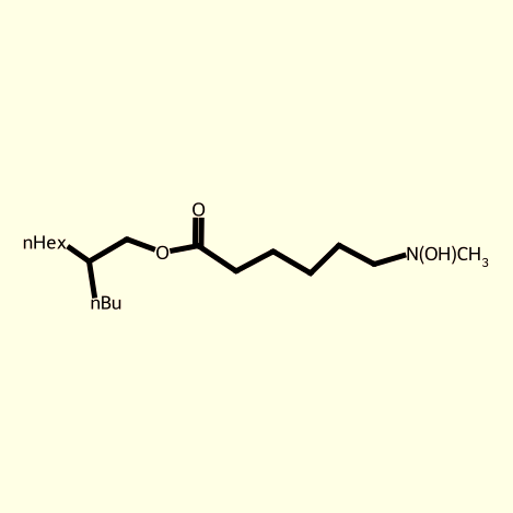 CCCCCCC(CCCC)COC(=O)CCCCCN(C)O